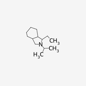 CCC1C2CCCCC2CN1C(C)C